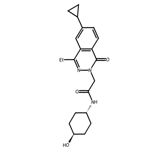 CCc1nn(CC(=O)N[C@H]2CC[C@H](O)CC2)c(=O)c2ccc(C3CC3)cc12